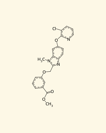 COC(=O)c1cccc(OCc2nc3ccc(Oc4ncccc4Cl)cc3n2C)c1